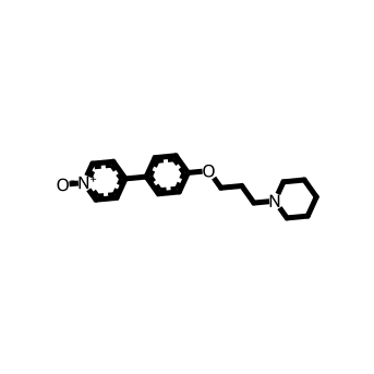 [O-][n+]1ccc(-c2ccc(OCCCN3CCCCC3)cc2)cc1